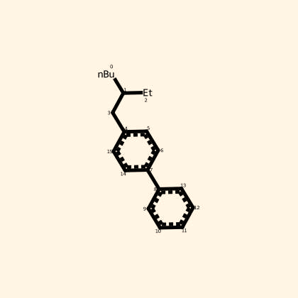 CCCCC(CC)Cc1ccc(-c2ccccc2)cc1